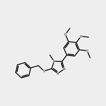 COc1cc(-c2nnc(SCc3ccccc3)n2C)cc(OC)c1OC